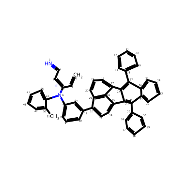 C=C/C(=C\C=N)N(c1cccc(-c2ccc3c4c(cccc24)-c2c-3c(-c3ccccc3)c3ccccc3c2-c2ccccc2)c1)c1ccccc1C